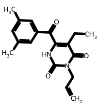 C=CCn1c(=O)[nH]c(C(=O)c2cc(C)cc(C)c2)c(CC)c1=O